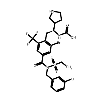 CCS(=O)(=O)N(Cc1cccc(Cl)c1)C(=O)c1cc(Br)c(C[C@H](NC(=O)O)C2CCNC2)c(C(F)(F)F)c1